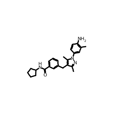 Cc1cc(-n2nc(C)c(Cc3cccc(C(=O)NC4CCCC4)c3)c2C)ccc1N